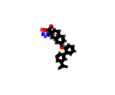 CC(C)c1cccc(-c2ccccc2Oc2ccc3c(c2)CC(N)(C(=O)O)CC3)c1